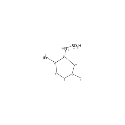 CC1CCC(C(C)C)C(NS(=O)(=O)O)C1